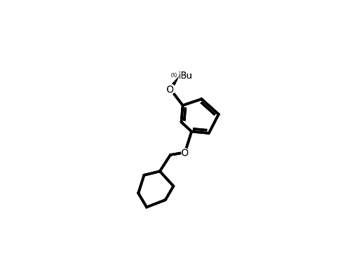 CC[C@H](C)Oc1cccc(OCC2CCCCC2)c1